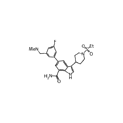 CCS(=O)(=O)N1CCC(c2c[nH]c3c(C(N)=O)cc(-c4cc(F)cc(CNC)c4)cc23)CC1